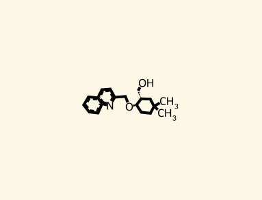 CC1(C)CC[C@@H](OCc2ccc3ccccc3n2)[C@H](CO)C1